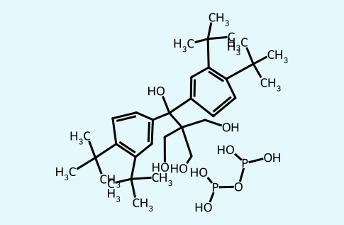 CC(C)(C)c1ccc(C(O)(c2ccc(C(C)(C)C)c(C(C)(C)C)c2)C(CO)(CO)CO)cc1C(C)(C)C.OP(O)OP(O)O